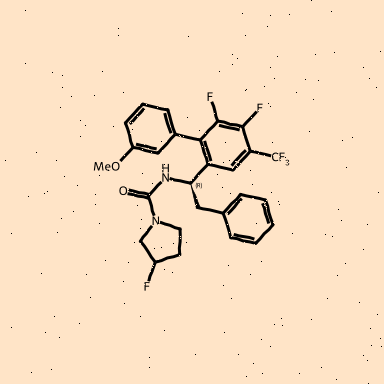 COc1cccc(-c2c([C@@H](Cc3ccccc3)NC(=O)N3CCC(F)C3)cc(C(F)(F)F)c(F)c2F)c1